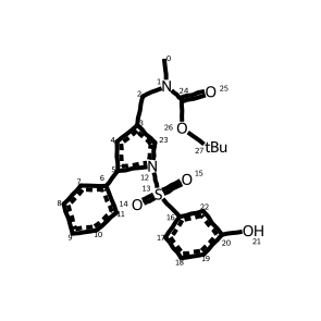 CN(Cc1cc(-c2ccccc2)n(S(=O)(=O)c2cccc(O)c2)c1)C(=O)OC(C)(C)C